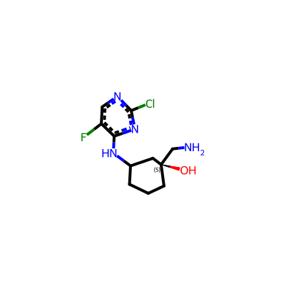 NC[C@]1(O)CCCC(Nc2nc(Cl)ncc2F)C1